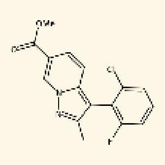 COC(=O)c1ccc2c(-c3c(F)cccc3Cl)c(C)nn2c1